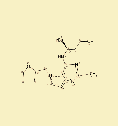 CCCC[C@@H](CCO)Nc1nc(C)nc2ccn(CC3CCCO3)c12